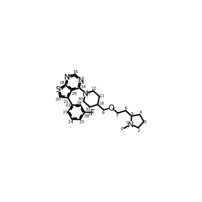 CN1CCCC1CCOCC1CCN(c2ncnc3scc(-c4cccc(F)c4)c23)CC1